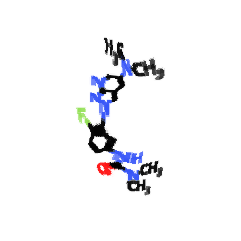 CN(C)C(=O)Nc1ccc(F)c(-n2cc3cc(N(C)C)cnc3n2)c1